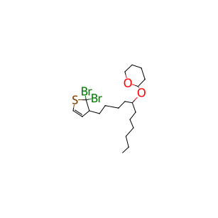 CCCCCCC(CCCCC1C=CSC1(Br)Br)OC1CCCCO1